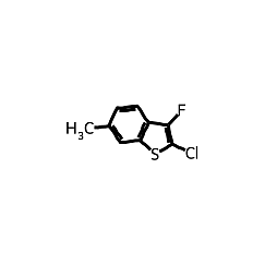 Cc1ccc2c(F)c(Cl)sc2c1